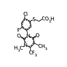 Cc1c(C(F)(F)F)n(C)c(=O)n(-c2cc(SCC(=O)O)c(Cl)cc2F)c1=O